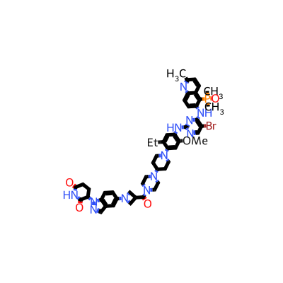 CCc1cc(Nc2ncc(Br)c(Nc3ccc4nc(C)ccc4c3P(C)(C)=O)n2)c(OC)cc1N1CCC(N2CCN(C(=O)C3CN(c4ccc5c(cnn5C5CCC(=O)NC5=O)c4)C3)CC2)CC1